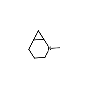 CN1CCCC2CC21